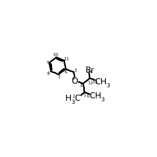 CC(C)C(OCc1ccccc1)C(C)Br